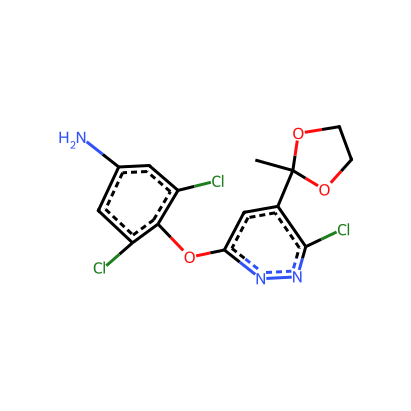 CC1(c2cc(Oc3c(Cl)cc(N)cc3Cl)nnc2Cl)OCCO1